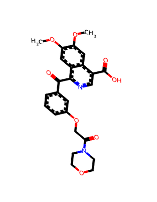 COc1cc2c(C(=O)O)cnc(C(=O)c3cccc(OCC(=O)N4CCOCC4)c3)c2cc1OC